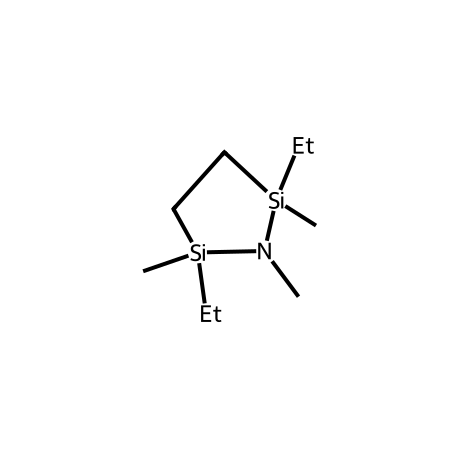 CC[Si]1(C)CC[Si](C)(CC)N1C